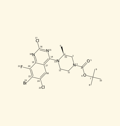 C[C@H]1CN(C(=O)OC(C)(C)C)CCN1c1nc(Cl)nc2c(F)c(Br)c(Cl)cc12